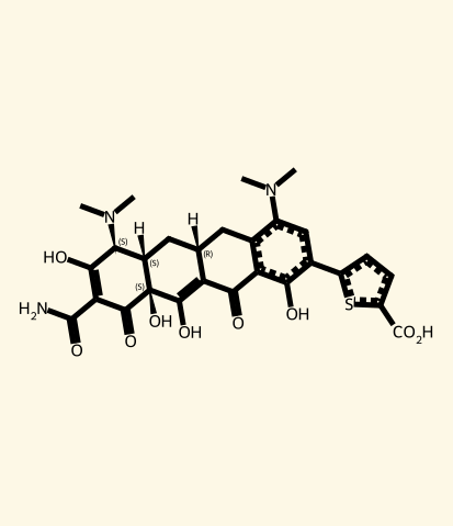 CN(C)c1cc(-c2ccc(C(=O)O)s2)c(O)c2c1C[C@H]1C[C@H]3[C@H](N(C)C)C(O)=C(C(N)=O)C(=O)[C@@]3(O)C(O)=C1C2=O